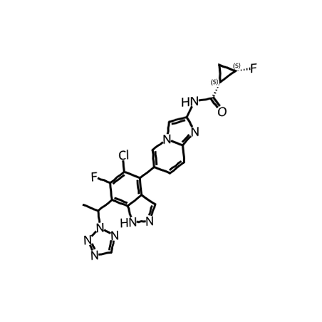 CC(c1c(F)c(Cl)c(-c2ccc3nc(NC(=O)[C@@H]4C[C@@H]4F)cn3c2)c2cn[nH]c12)n1ncnn1